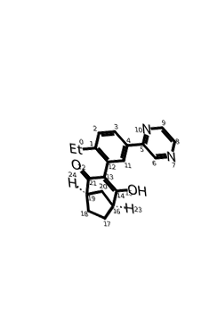 CCc1ccc(-c2cnccn2)cc1C1=C(O)[C@H]2CC[C@H](C2)C1=O